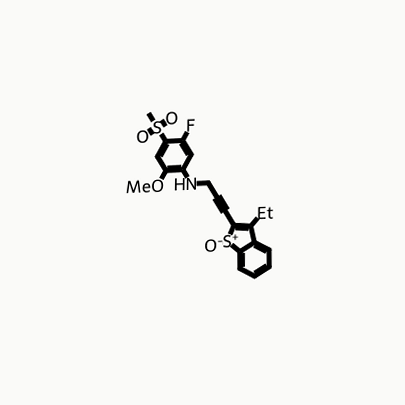 CCc1c(C#CCNc2cc(F)c(S(C)(=O)=O)cc2OC)[s+]([O-])c2ccccc12